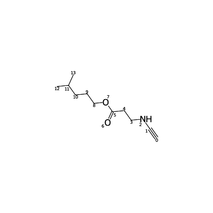 C#CNCCC(=O)OCCCC(C)C